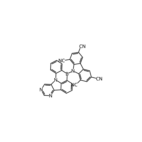 N#Cc1cc(C#N)c2c(c1)c1cc(C#N)cc(C#N)c1n2B1c2ccccc2-n2c3cncnc3c3cccc1c32